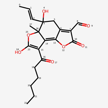 C/C=C/C1(O)CC2=C(C=O)C(=O)OC2=C2C(C(=O)CCCCC)=C(O)OC21C